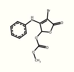 COC(=O)OC1OC(=O)C(Br)=C1Nc1ccccc1